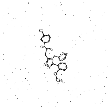 COc1ccccc1-c1nnc(CC(=O)Nc2cccc(Cl)c2)n1Cc1ccco1